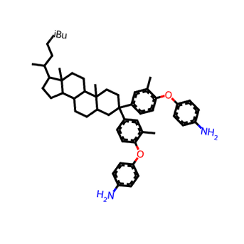 CCC(C)CCC(C)C1CCC2C3CCC4CC(c5ccc(Oc6ccc(N)cc6)c(C)c5)(c5ccc(Oc6ccc(N)cc6)c(C)c5)CCC4(C)C3CCC12C